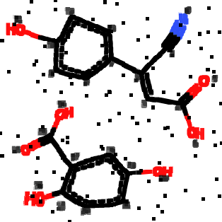 N#CC(=CC(=O)O)c1ccc(O)cc1.O=C(O)c1cc(O)ccc1O